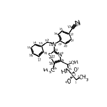 CCS(=O)(=O)NC(O)c1nc(N(Cc2ccccc2)c2ccc(C#N)cc2)sc1C